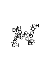 CCN(CC)c1ccc(C2=C(O)C(C3C=CC(N(CC)CC)C=C3OC(=O)COc3cc(C)c(O)c(C)c3C)C2=O)c(OC(=O)COc2cc(C)c(O)c(C)c2C)c1